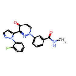 CNC(=O)c1cccc(-n2ccc(=O)c(-c3ccnn3-c3ccccc3F)n2)c1